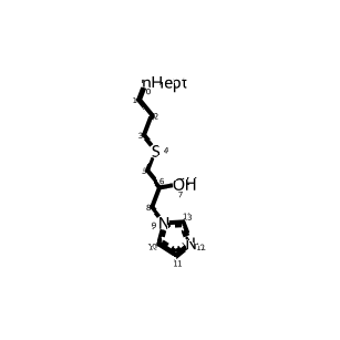 CCCCCCCCCCSCC(O)Cn1ccnc1